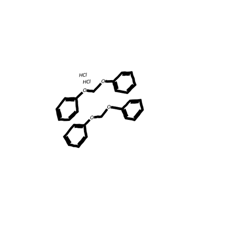 Cl.Cl.c1ccc(OCOc2ccccc2)cc1.c1ccc(OCOc2ccccc2)cc1